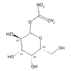 C=C(OC1O[C@H](CO)[C@H](O)[C@H](O)[C@H]1O)[N+](=O)[O-]